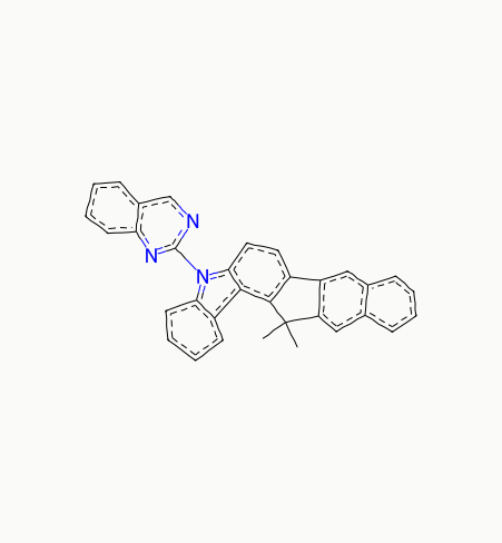 CC1(C)c2cc3ccccc3cc2-c2ccc3c(c21)c1ccccc1n3-c1ncc2ccccc2n1